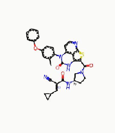 Cc1cc(Oc2ccccc2)ccc1N1C(=O)Nc2c(C(=O)N3CC[C@@H](NC(=O)/C(C#N)=C/C4CC4)C3)sc3nccc1c23